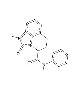 CN(C(=O)C1CCc2cccc3c2n1c(=O)n3C)c1ccccc1